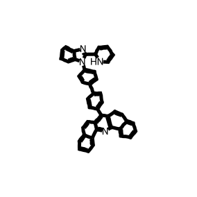 C1=CNC(c2nc3ccccc3n2-c2ccc(-c3ccc(-c4c5ccc6ccccc6c5nc5c4ccc4ccccc45)cc3)cc2)C=C1